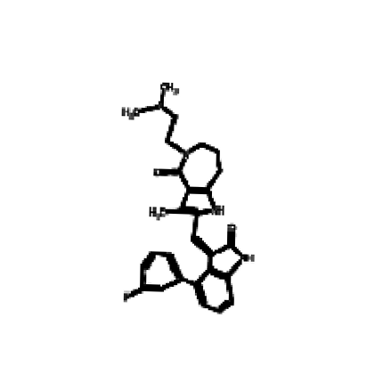 Cc1c(C=C2C(=O)Nc3cccc(-c4cccc(F)c4)c32)[nH]c2c1C(=O)N(CCN(C)C)CCC2